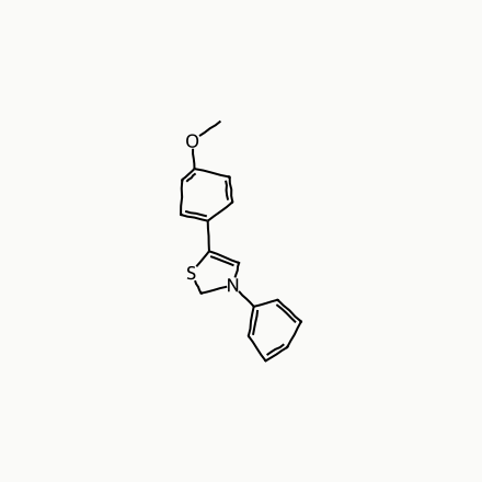 COc1ccc(C2=CN(c3ccccc3)CS2)cc1